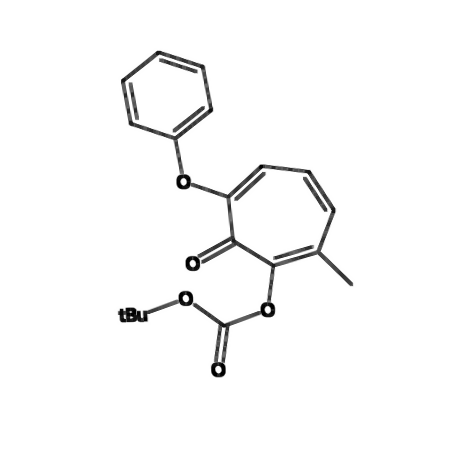 Cc1cccc(Oc2ccccc2)c(=O)c1OC(=O)OC(C)(C)C